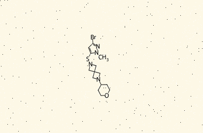 Cn1nc(Br)cc1SN1CC2(C1)CN(C1CCOCC1)C2